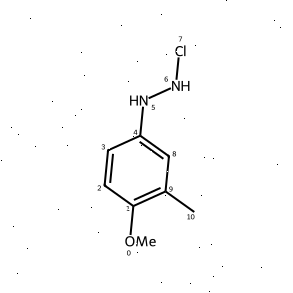 COc1ccc(NNCl)cc1C